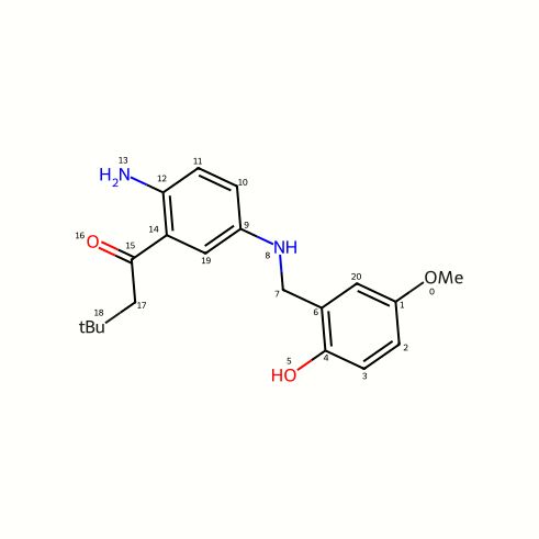 COc1ccc(O)c(CNc2ccc(N)c(C(=O)CC(C)(C)C)c2)c1